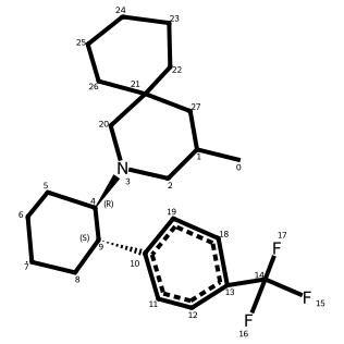 CC1CN([C@@H]2CC[CH]C[C@H]2c2ccc(C(F)(F)F)cc2)CC2(CCCCC2)C1